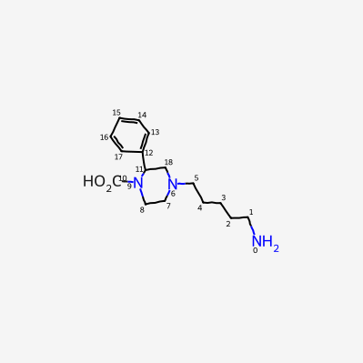 NCCCCCN1CCN(C(=O)O)C(c2ccccc2)C1